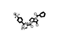 CC(C)C[C@H](NC(=O)c1ccc([N+](C)(C)[O-])cc1)C(=O)N1CCC2C1C(=O)CN2C(=O)c1ccccc1